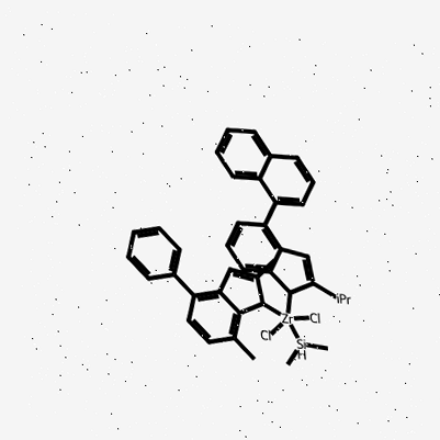 CC1=Cc2c(-c3ccccc3)ccc(C)c2[CH]1[Zr]([Cl])([Cl])([CH]1C(C(C)C)=Cc2c(-c3cccc4ccccc34)cccc21)[SiH](C)C